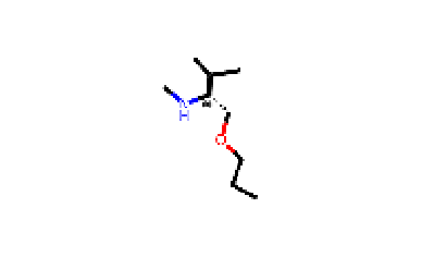 CCCOC[C@H](NC)C(C)C